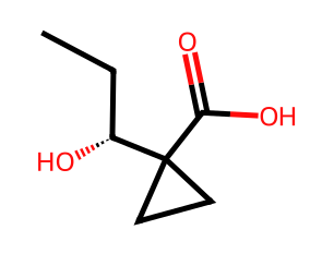 CC[C@@H](O)C1(C(=O)O)CC1